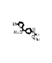 CCc1cccc(C(OC)c2ccc(NC(=O)OC(C)(C)C)cc2)n1